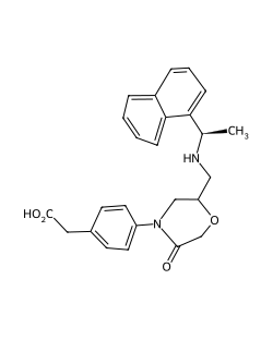 C[C@@H](NCC1CN(c2ccc(CC(=O)O)cc2)C(=O)CO1)c1cccc2ccccc12